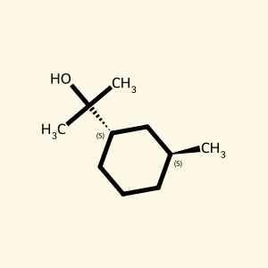 C[C@H]1CCC[C@H](C(C)(C)O)C1